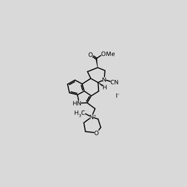 COC(=O)[C@@H]1CC2c3cccc4[nH]c(C[N+]5(C)CCOCC5)c(c34)C[C@H]2N(C#N)C1.[I-]